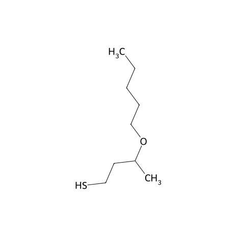 CCCCCOC(C)CCS